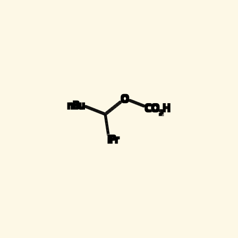 CCCCC(OC(=O)O)C(C)C